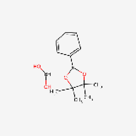 CC1(C)OB(c2ccccc2)OC1(C)C.OBO